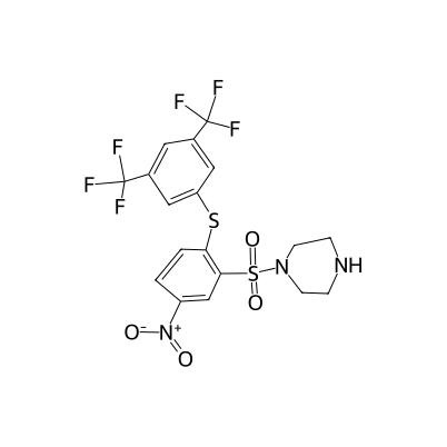 O=[N+]([O-])c1ccc(Sc2cc(C(F)(F)F)cc(C(F)(F)F)c2)c(S(=O)(=O)N2CCNCC2)c1